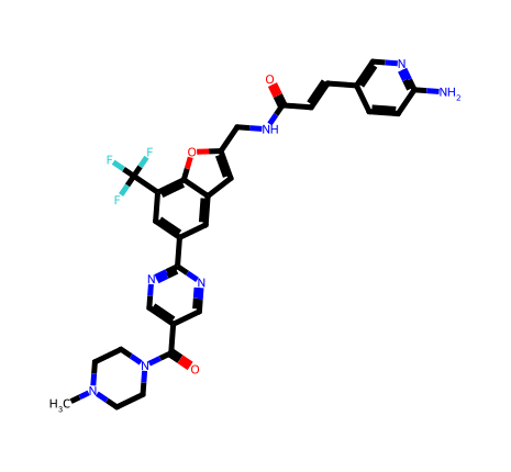 CN1CCN(C(=O)c2cnc(-c3cc(C(F)(F)F)c4oc(CNC(=O)C=Cc5ccc(N)nc5)cc4c3)nc2)CC1